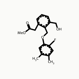 COC(=O)Cc1cccc(CO)c1COc1cc(C)c(C)cc1F